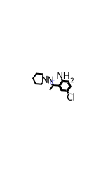 C/C(=N\N1CCCCC1)c1cc(Cl)ccc1N